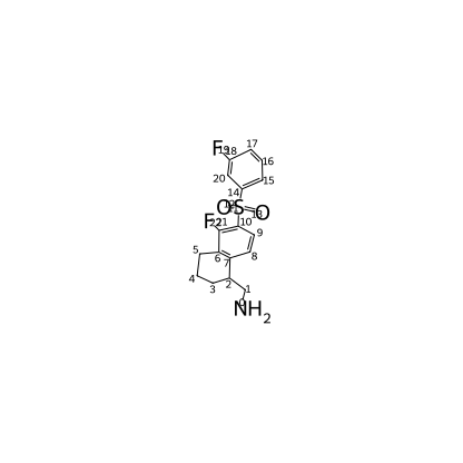 NCC1CCCc2c1ccc(S(=O)(=O)c1cccc(F)c1)c2F